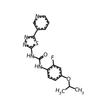 CC(C)Oc1ccc(NC(=O)Nc2nnc(-c3cccnc3)s2)c(F)c1